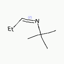 CC/C=N\C(C)(C)C